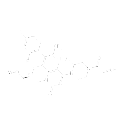 C=CC(=O)N1CCN(c2nc(=O)n3c4c(c(-c5ccc(F)cc5F)c(C(F)(F)F)cc24)S[C@H](COC)C3)C(C)C1